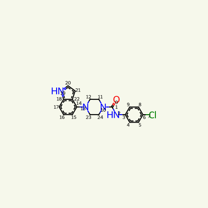 O=C(Nc1ccc(Cl)cc1)N1CCN(c2cccc3[nH]ccc23)CC1